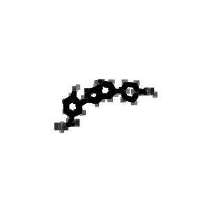 CNc1ccc(F)c(-n2cc3cc(N4CCN(C)CC4)cnc3n2)c1